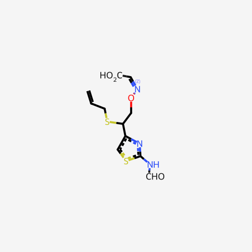 C=CCSC(CO/N=C\C(=O)O)c1csc(NC=O)n1